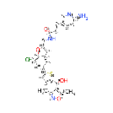 Cc1noc(C)c1C(O)c1ccc(-c2cc(Cl)c3oc(CNC(=O)C=Cc4ccc(N)nc4)cc3c2)s1